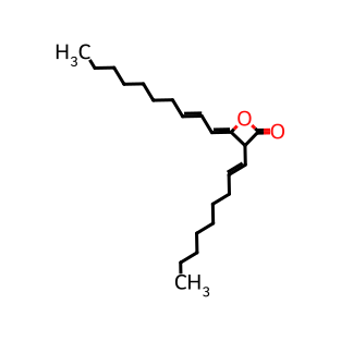 CCCCCCCC=CC=C1OC(=O)C1C=CCCCCCCC